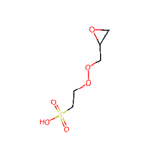 O=S(=O)(O)CCOOCC1CO1